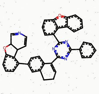 C1=CC2c3c(cccc3-c3ccc4c(c3)CCC=C4c3nc(-c4ccccc4)nc(-c4cccc5oc6ccccc6c45)n3)OC2C=N1